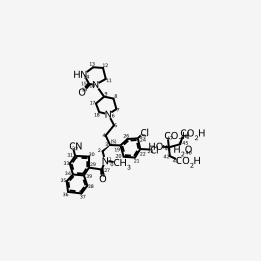 CN(C[C@@H](CCN1CCC(N2CCCNC2=O)CC1)c1ccc(Cl)c(Cl)c1)C(=O)c1cc(C#N)cc2ccccc12.O.O=C(O)CC(O)(CC(=O)O)C(=O)O